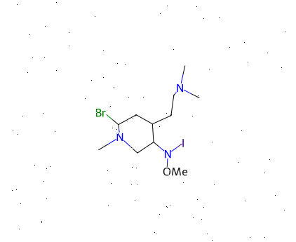 CON(I)C1CN(C)C(Br)CC1CCN(C)C